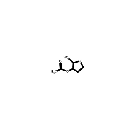 CC(=O)OC1CCOC1O